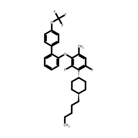 CCCCC[C@H]1CC[C@H](c2c(F)cc(C)c(Oc3ccccc3-c3ccc(OC(F)(F)F)cc3)c2F)CC1